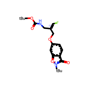 CC(C)(C)OC(=O)NC/C(=C/F)COc1ccc2c(=O)n(C(C)(C)C)oc2c1